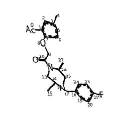 CC(=O)c1cc(C)ccc1OCC(=O)N1CC(C)N(Cc2ccc(F)cc2)CC1C